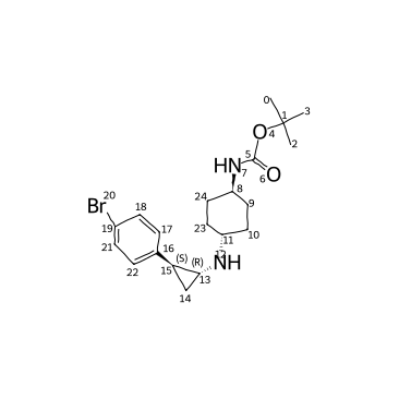 CC(C)(C)OC(=O)N[C@H]1CC[C@H](N[C@@H]2C[C@H]2c2ccc(Br)cc2)CC1